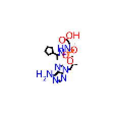 C/C(=N\OP(=O)(CO[C@@H](C)Cn1cnc2c(N)ncnc21)N[C@@H](C)C(=O)O)C1CCCC1